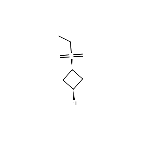 CCS(=O)(=O)[C@H]1C[C@@H](N)C1